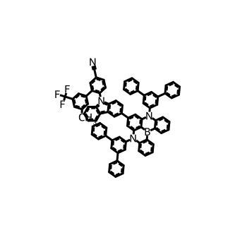 Cc1cc(-c2cc(C#N)ccc2-n2c3ccccc3c3cc(-c4cc5c6c(c4)N(c4cc(-c7ccccc7)cc(-c7ccccc7)c4)c4ccccc4B6c4ccccc4N5c4cc(-c5ccccc5)cc(-c5ccccc5)c4)ccc32)cc(C(F)(F)F)c1